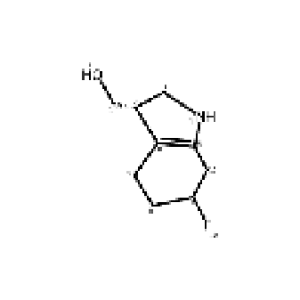 OC[C@@H]1CNC2=C1CCC(F)C2